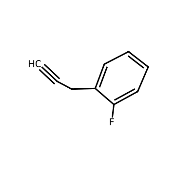 C#CCc1ccccc1F